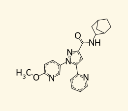 COc1ccc(-n2nc(C(=O)NC3CC4CCC3C4)cc2-c2ccccn2)cn1